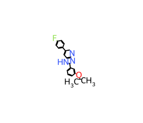 CC(C)Oc1cccc(-c2nc3ncc(-c4ccc(F)cc4)cc3[nH]2)c1